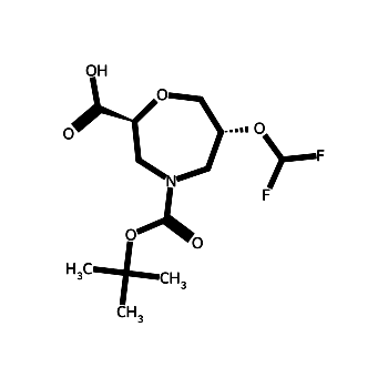 CC(C)(C)OC(=O)N1C[C@@H](OC(F)F)CO[C@H](C(=O)O)C1